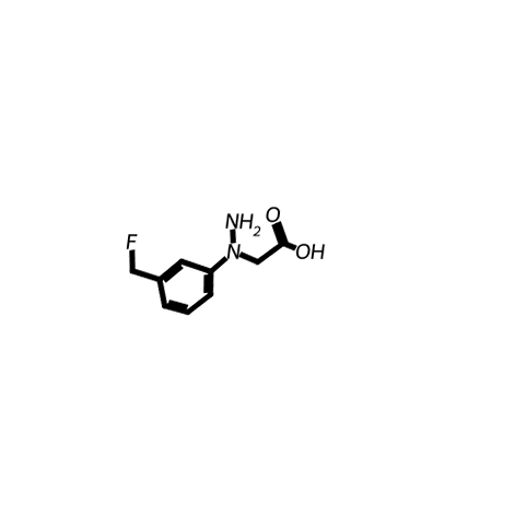 NN(CC(=O)O)c1cccc(CF)c1